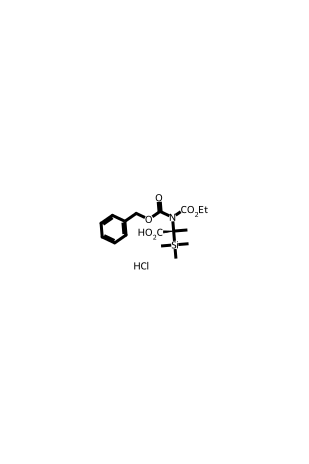 CCOC(=O)N(C(=O)OCc1ccccc1)[C@@](C)(C(=O)O)[Si](C)(C)C.Cl